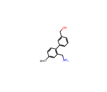 COc1ccc(-c2cccc(CO)c2)c(CN)c1